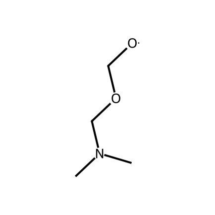 CN(C)COC[O]